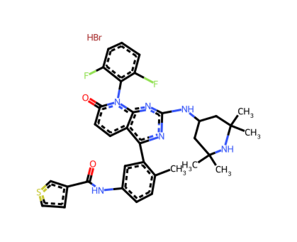 Br.Cc1ccc(NC(=O)c2ccsc2)cc1-c1nc(NC2CC(C)(C)NC(C)(C)C2)nc2c1ccc(=O)n2-c1c(F)cccc1F